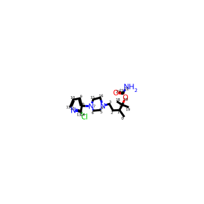 CC(CCN1CCN(c2cccnc2Cl)CC1)C(C)(C)OC(N)=O